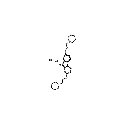 Cl.Cl.c1cc2c(cc1OCCN1CCCCC1)[nH]c1cc(OCCN3CCCCC3)ccc12